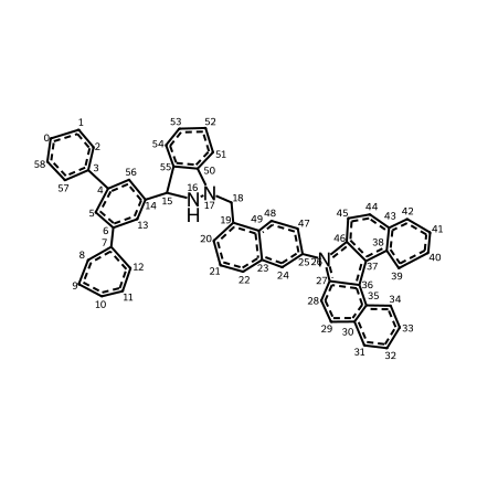 c1ccc(-c2cc(-c3ccccc3)cc(C3NN(Cc4cccc5cc(-n6c7ccc8ccccc8c7c7c8ccccc8ccc76)ccc45)c4ccccc43)c2)cc1